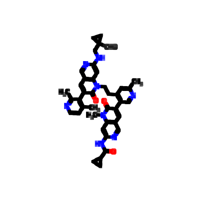 Cc1cc(CCn2c(=O)c(-c3c(C)ccnc3C)cc3cnc(NCC4(C=O)CC4)cc32)c(-c2cc3cnc(NC(=O)C4CC4)cc3n(C)c2=O)cn1